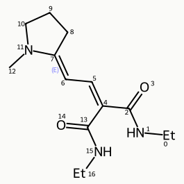 CCNC(=O)C(=C/C=C1\CCCN1C)C(=O)NCC